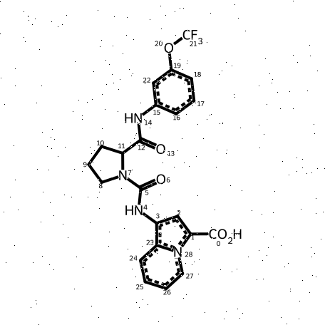 O=C(O)c1cc(NC(=O)N2CCCC2C(=O)Nc2cccc(OC(F)(F)F)c2)c2ccccn12